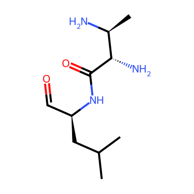 CC(C)C[C@@H](C=O)NC(=O)[C@@H](N)[C@H](C)N